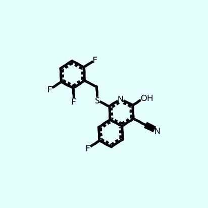 N#Cc1c(O)nc(SCc2c(F)ccc(F)c2F)c2cc(F)ccc12